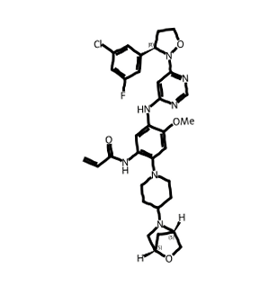 C=CC(=O)Nc1cc(Nc2cc(N3OCC[C@@H]3c3cc(F)cc(Cl)c3)ncn2)c(OC)cc1N1CCC(N2C[C@@H]3C[C@H]2CO3)CC1